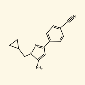 N#Cc1ccc(-c2cc(N)n(CC3CC3)n2)cc1